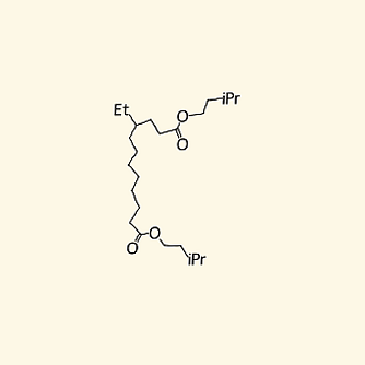 CCC(CCCCCCCC(=O)OCCC(C)C)CCC(=O)OCCC(C)C